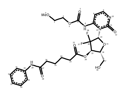 COCCOC(=O)Nc1ccnc(=O)n1[C@@H]1O[C@H](CO)[C@@H](OC(=O)CCCCC(=O)Nc2ccccc2)C1(F)F